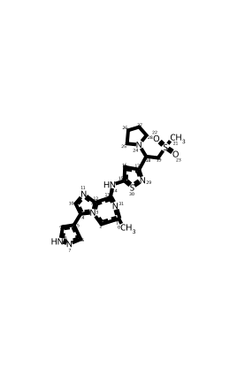 Cc1cn2c(-c3cn[nH]c3)cnc2c(Nc2cc(C(CS(C)(=O)=O)N3CCCC3)ns2)n1